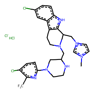 Cl.Cn1cc[n+](CC2c3[nH]c4ccc(Cl)cc4c3CCN2CC2CN(c3ccc(Cl)c(C(F)(F)F)n3)CCN2)c1.[Cl-]